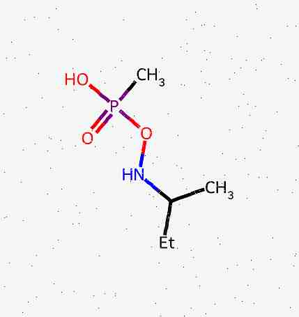 CCC(C)NOP(C)(=O)O